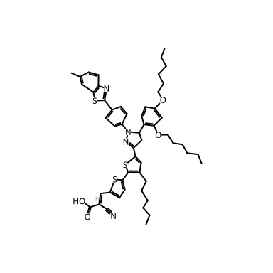 CCCCCCOc1ccc(C2CC(c3cc(CCCCCC)c(-c4ccc(/C=C(\C#N)C(=O)O)s4)s3)=NN2c2ccc(-c3nc4ccc(C)cc4s3)cc2)c(OCCCCCC)c1